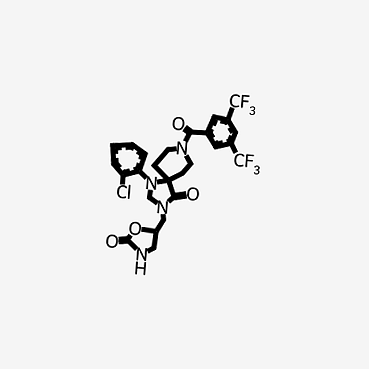 O=C1NCC(CN2CN(c3ccccc3Cl)C3(CCN(C(=O)c4cc(C(F)(F)F)cc(C(F)(F)F)c4)CC3)C2=O)O1